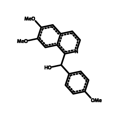 COc1ccc(C(O)c2nccc3cc(OC)c(OC)cc23)cc1